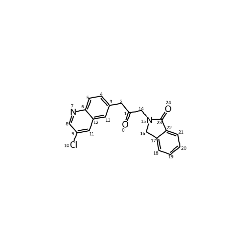 O=C(Cc1ccc2ncc(Cl)cc2c1)CN1Cc2ccccc2C1=O